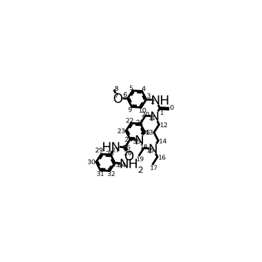 C=C(Nc1ccc(OC)cc1)N(CCCN(CC)CC)Cc1ccc(C(=O)Nc2ccccc2N)nc1